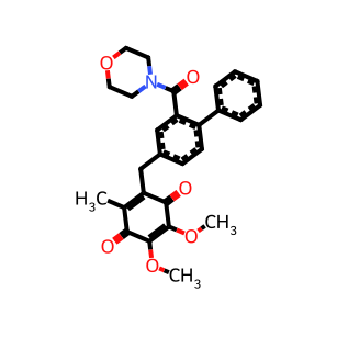 COC1=C(OC)C(=O)C(Cc2ccc(-c3ccccc3)c(C(=O)N3CCOCC3)c2)=C(C)C1=O